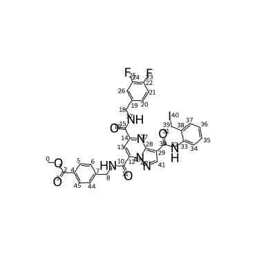 COC(=O)c1ccc(CNC(=O)c2cc(C(=O)NCc3ccc(F)c(F)c3)nc3c(C(=O)Nc4ccccc4CI)cnn23)cc1